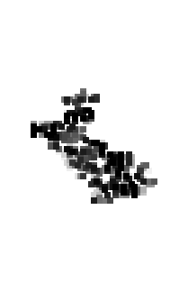 C/C=C(/C)C(=O)OC[C@]1(C)C2CC[C@]3(C)C(CC=C4C5CC(C)(C)[C@@H](O)[C@H](OC(=O)/C(C)=C\C)[C@]5(CO)[C@H](O)C[C@]43CC)[C@@]2(C)CC[C@@H]1O